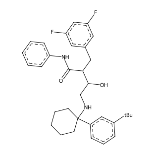 CC(C)(C)c1cccc(C2(NCC(O)C(Cc3cc(F)cc(F)c3)C(=O)Nc3ccccc3)CCCCC2)c1